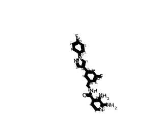 Nc1nccc(C(=O)NCc2cc(F)cc(-c3cnn(-c4ccc(F)cc4)c3)c2)c1N